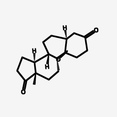 C[C@]12CC[C@]34OC[C@@]35CCC(=O)C[C@@H]5CC[C@H]4[C@@H]1CCC2=O